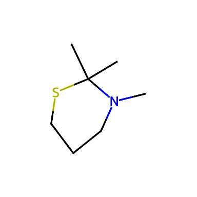 CN1CCCSC1(C)C